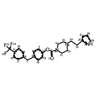 O=C(Oc1ccc(Cc2ccc(C(F)(F)F)cc2)cc1)N1CCN(CCc2ccc[nH]2)CC1